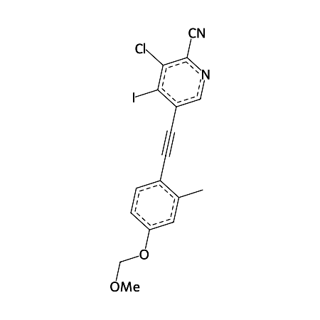 COCOc1ccc(C#Cc2cnc(C#N)c(Cl)c2I)c(C)c1